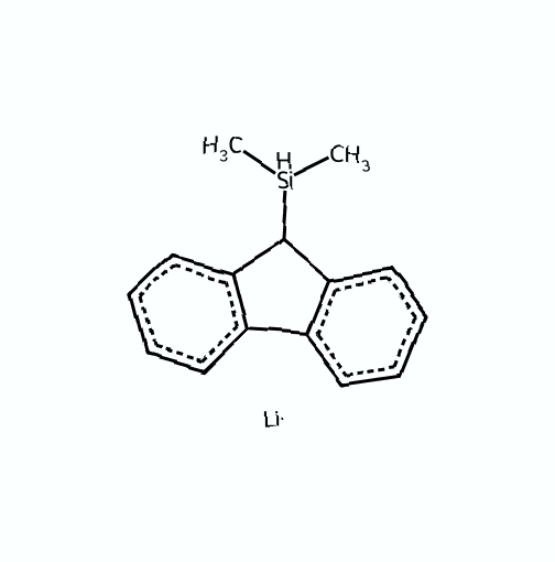 C[SiH](C)C1c2ccccc2-c2ccccc21.[Li]